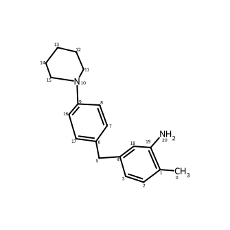 Cc1ccc(Cc2ccc(N3CCCCC3)cc2)cc1N